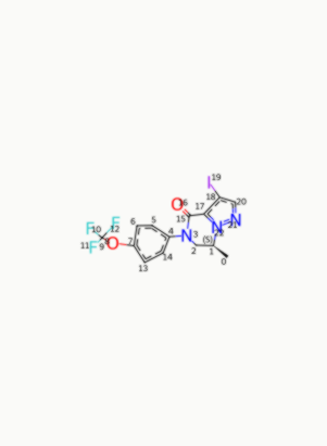 C[C@H]1CN(c2ccc(OC(F)(F)F)cc2)C(=O)c2c(I)cnn21